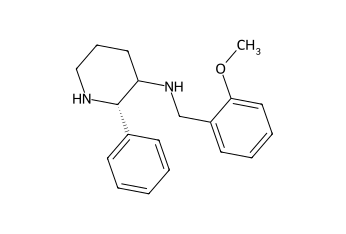 COc1ccccc1CNC1CCCN[C@H]1c1ccccc1